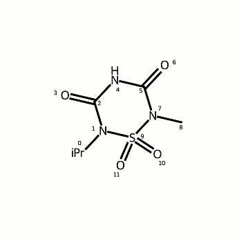 CC(C)N1C(=O)NC(=O)N(C)S1(=O)=O